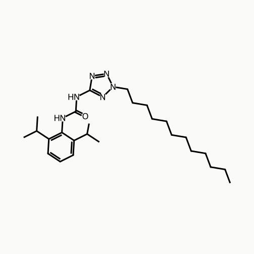 CCCCCCCCCCCCn1nnc(NC(=O)Nc2c(C(C)C)cccc2C(C)C)n1